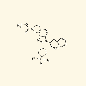 COC(=O)N1CCc2ccc3c(nc([C@H]4CC[C@](C)(C(=O)O)CC4)n3[C@H](CO)Cc3ccccc3)c2C1